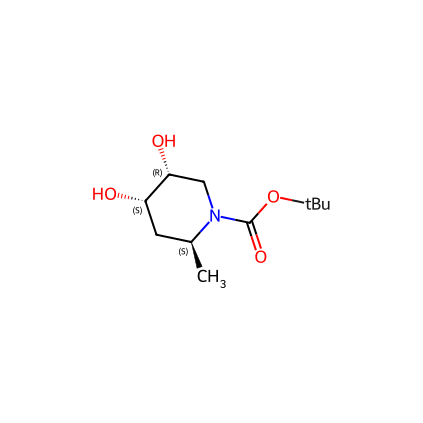 C[C@H]1C[C@H](O)[C@H](O)CN1C(=O)OC(C)(C)C